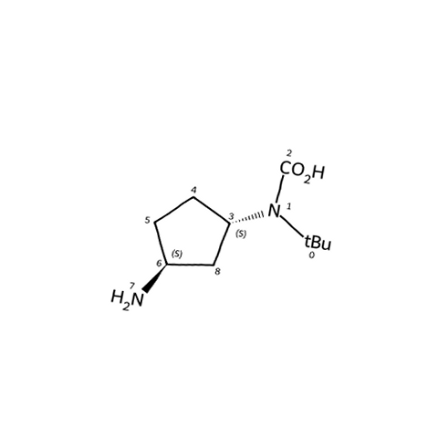 CC(C)(C)N(C(=O)O)[C@H]1CC[C@H](N)C1